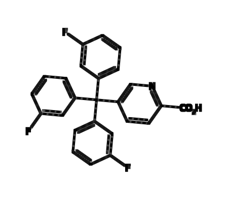 O=C(O)c1ccc(C(c2cccc(F)c2)(c2cccc(F)c2)c2cccc(F)c2)cn1